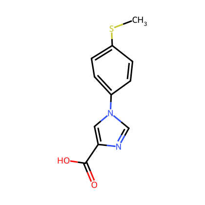 CSc1ccc(-n2cnc(C(=O)O)c2)cc1